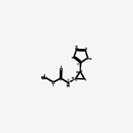 CC(C)(C)OC(=O)N[C@H]1C[C@@H]1c1cncs1